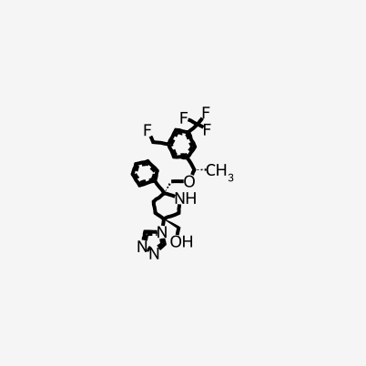 C[C@H](OC[C@@]1(c2ccccc2)CC[C@@](CO)(n2cnnc2)CN1)c1cc(CF)cc(C(F)(F)F)c1